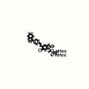 CCCCCCN(CCCCCC)C(=O)OC(C)N1C(=O)Cc2cc(CCN3CCN(c4nsc5ccccc45)CC3)c(Cl)cc21